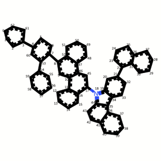 c1ccc(-c2ccc(-c3cc4c5ccccc5c(-n5c6cc(-c7cccc8ccccc78)ccc6c6c7ccccc7ccc65)cc4c4ccccc34)c(-c3ccccc3)c2)cc1